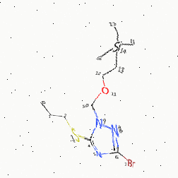 CCCSc1nc(Br)nn1COCC[Si](C)(C)C